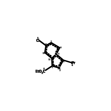 CCOC(=O)c1nc(C(C)C)n2ccc(Cl)cc12